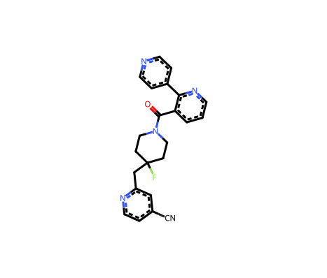 N#Cc1ccnc(CC2(F)CCN(C(=O)c3cccnc3-c3ccncc3)CC2)c1